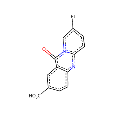 CCc1ccc2nc3ccc(C(=O)O)cc3c(=O)n2c1